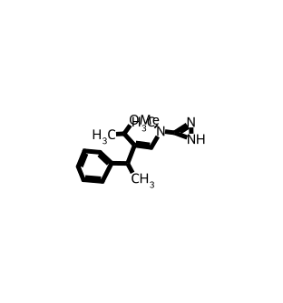 COC(C)/C(=C\N(C)C1=NN1)C(C)c1ccccc1